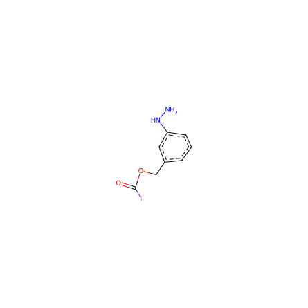 NNc1cccc(COC(=O)I)c1